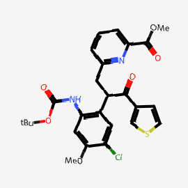 COC(=O)c1cccc(CC(C(=O)c2ccsc2)c2cc(Cl)c(OC)cc2NC(=O)OC(C)(C)C)n1